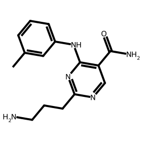 Cc1cccc(Nc2nc(CCCN)ncc2C(N)=O)c1